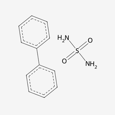 NS(N)(=O)=O.c1ccc(-c2ccccc2)cc1